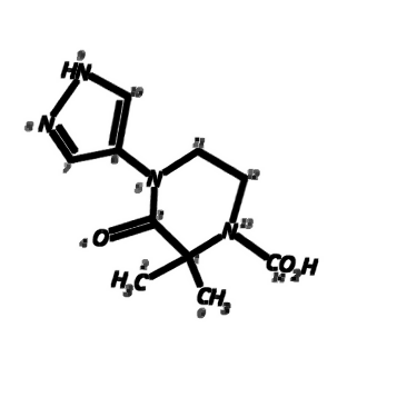 CC1(C)C(=O)N(c2cn[nH]c2)CCN1C(=O)O